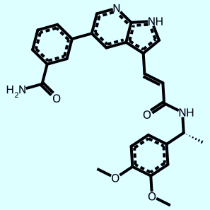 COc1ccc([C@@H](C)NC(=O)/C=C/c2c[nH]c3ncc(-c4cccc(C(N)=O)c4)cc23)cc1OC